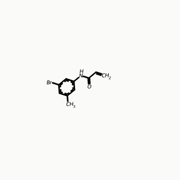 C=CC(=O)Nc1cc(C)cc(Br)c1